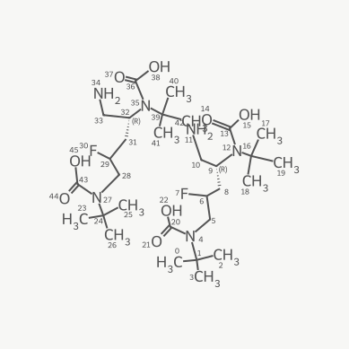 CC(C)(C)N(CC(F)C[C@H](CN)N(C(=O)O)C(C)(C)C)C(=O)O.CC(C)(C)N(CC(F)C[C@H](CN)N(C(=O)O)C(C)(C)C)C(=O)O